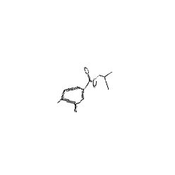 Cc1ccc(C(=O)OCC(C)C)cc1C